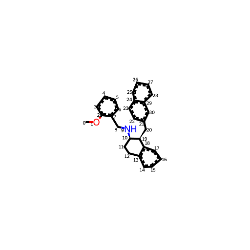 COc1ccccc1CN[C@@H]1CCc2ccccc2[C@@H]1Cc1ccc2ccccc2c1